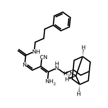 C=C(/N=C\C(C#N)=C(/N)NC[C@]12CC3C[C@H](C1)[C@@H](N)[C@@H](C3)C2)NCCCc1ccccc1